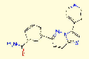 NC(=O)c1cccc(-c2ccc3ncc(-c4ccncc4)n3n2)c1